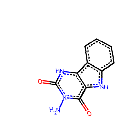 Nn1c(=O)[nH]c2c([nH]c3ccccc32)c1=O